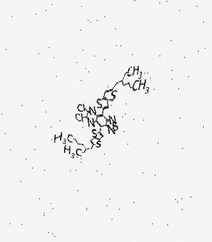 CCCCC(CC)Cc1cc2sc(-c3c4nsnc4c(-c4cc5sc(CC(CC)CCCC)cc5s4)c4nc(Cl)c(Cl)nc34)cc2s1